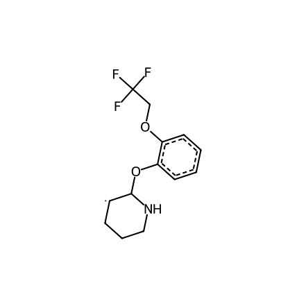 FC(F)(F)COc1ccccc1OC1[CH]CCCN1